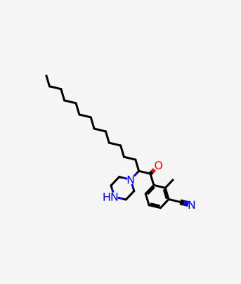 CCCCCCCCCCCCCC(C(=O)c1cccc(C#N)c1C)N1CCNCC1